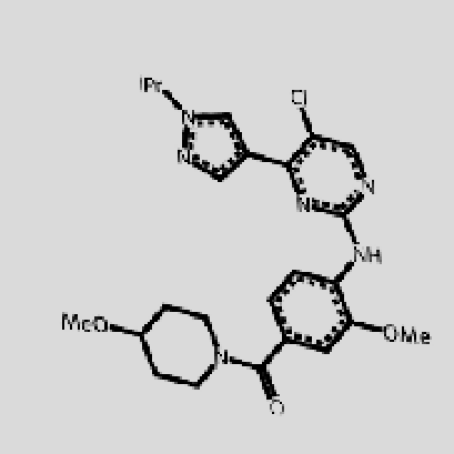 COc1cc(C(=O)N2CCC(OC)CC2)ccc1Nc1ncc(Cl)c(-c2cnn(C(C)C)c2)n1